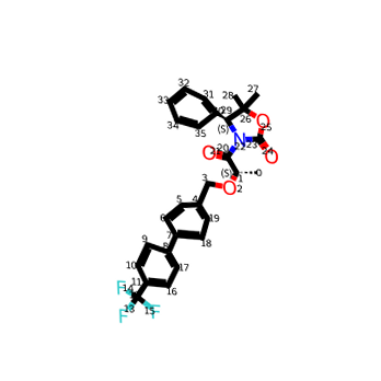 C[C@H](OCc1ccc(-c2ccc(C(F)(F)F)cc2)cc1)C(=O)N1C(=O)OC(C)(C)[C@@H]1c1ccccc1